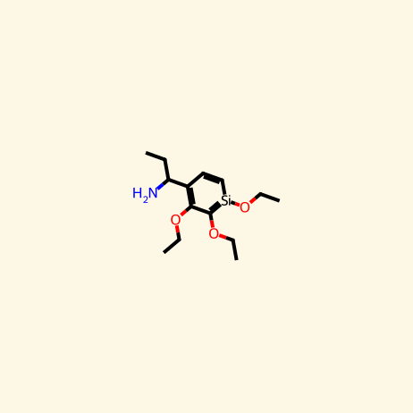 CCOc1c(C(N)CC)cc[si](OCC)c1OCC